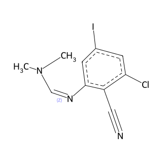 CN(C)/C=N\c1cc(I)cc(Cl)c1C#N